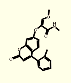 CNC(=O)C(=COC)Oc1ccc2c(-c3ccccc3C)cc(=O)oc2c1